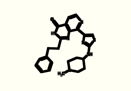 CN1CCC(Nc2nc(-c3nccc4c(=O)[nH]c(CCc5ccccc5)nc34)cs2)CC1